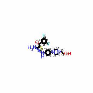 Nc1nc(Nc2ccc(N3CCN(CCO)CC3)cc2)sc1C(=O)c1cc(F)cc(F)c1